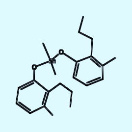 CCCc1c(C)cccc1[O][Sn]([CH3])([CH3])[O]c1cccc(C)c1CCC